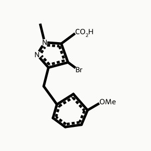 COc1cccc(Cc2nn(C)c(C(=O)O)c2Br)c1